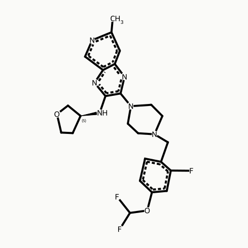 Cc1cc2nc(N3CCN(Cc4ccc(OC(F)F)cc4F)CC3)c(N[C@H]3CCOC3)nc2cn1